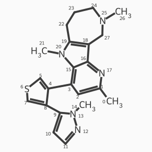 Cc1cc(-c2cscc2-c2ccnn2C)c2c(n1)c1c(n2C)CCCN(C)C1